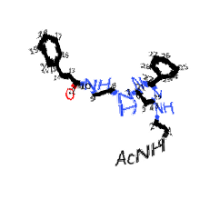 CC(=O)NCCNc1cc(NCCNC(=O)C=Cc2ccccc2)nc(-c2ccccc2)n1